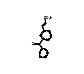 O=C(c1ccccc1)c1cccc(/C=C/S(=O)(=O)O)c1